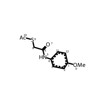 COc1ccc(NC(=O)CSC(C)=O)cc1